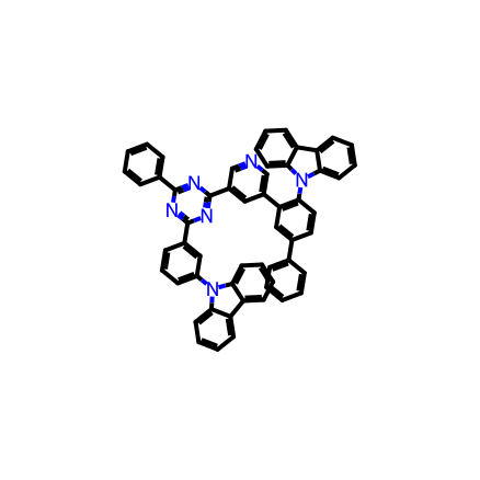 c1ccc(-c2ccc(-n3c4ccccc4c4ccccc43)c(-c3cncc(-c4nc(-c5ccccc5)nc(-c5cccc(-n6c7ccccc7c7ccccc76)c5)n4)c3)c2)cc1